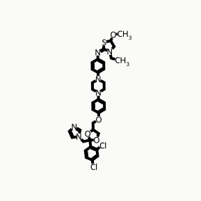 CCN1CC(OC)SC1=Nc1ccc(N2CCN(c3ccc(OCC4COC(Cn5ccnc5)(c5ccc(Cl)cc5Cl)O4)cc3)CC2)cc1